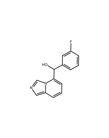 OC(c1cccc(F)c1)c1cccc2cncn12